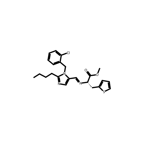 CCCCc1ncc(C=N[C@@H](Cc2cccs2)C(=O)OC)n1Cc1ccccc1Cl